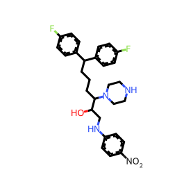 O=[N+]([O-])c1ccc(NCC(O)C(CCCC(c2ccc(F)cc2)c2ccc(F)cc2)N2CCNCC2)cc1